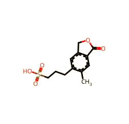 Cc1cc2c(cc1CCCS(=O)(=O)O)COC2=O